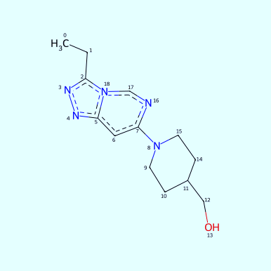 CCc1nnc2cc(N3CCC(CO)CC3)ncn12